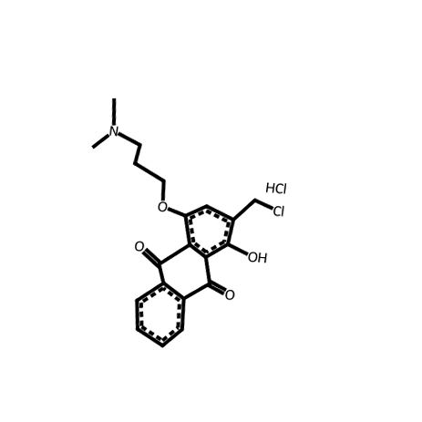 CN(C)CCCOc1cc(CCl)c(O)c2c1C(=O)c1ccccc1C2=O.Cl